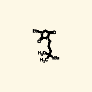 CCCCC(C)(C)CC[CH]N1C(=O)CN(CC)C1=O